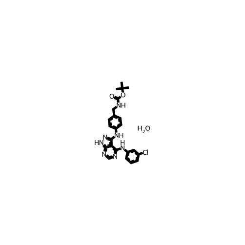 CC(C)(C)OC(=O)NCc1ccc(Nc2n[nH]c3ncnc(Nc4cccc(Cl)c4)c23)cc1.O